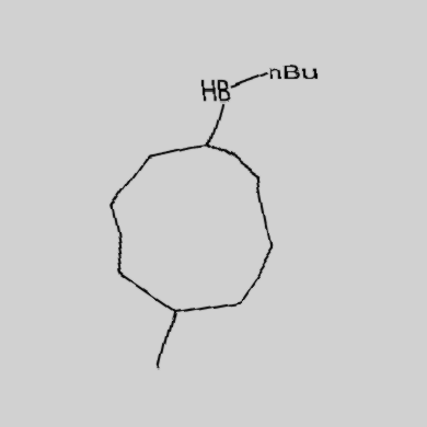 CCCCBC1CCCC(C)CCC1